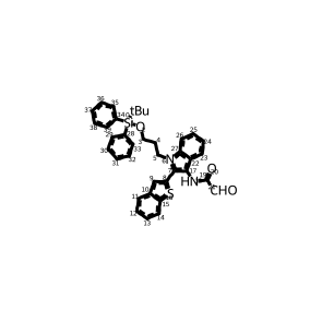 CC(C)(C)[Si](OCCCn1c(-c2cc3ccccc3s2)c(NC(=O)C=O)c2ccccc21)(c1ccccc1)c1ccccc1